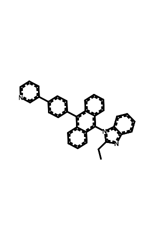 CCc1nc2ccccc2n1-c1c2ccccc2c(-c2ccc(-c3cccnc3)cc2)c2ccccc12